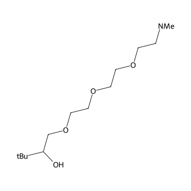 CNCCOCCOCCOCC(O)C(C)(C)C